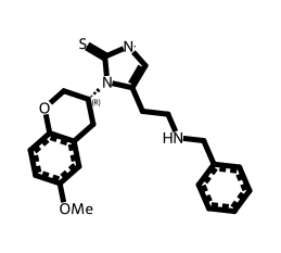 COc1ccc2c(c1)C[C@@H](N1C(=S)[N]C=C1CCNCc1ccccc1)CO2